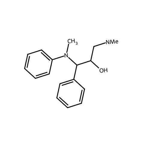 CNCC(O)C(c1ccccc1)N(C)c1ccccc1